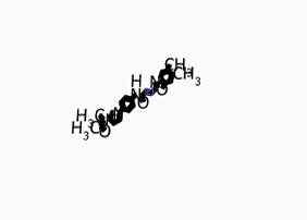 CC(=O)N(C)C1CCN(c2ccc(NC(=O)/C=C/c3nc4cc(C)c(C)cc4o3)cc2)C1